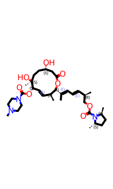 C/C(=C\C=C\[C@@H](C)COC(=O)N1[C@@H](C)CC[C@@H]1C)[C@H]1OC(=O)C[C@@H](O)CC[C@](C)(O)[C@@H](OC(=O)N2CCN(C)CC2)/C=C/[C@@H]1C